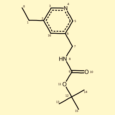 CCc1cncc(CNC(=O)OC(C)(C)C)c1